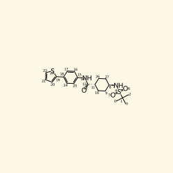 CC(C)(C)S(=O)(=O)N[C@H]1CC[C@H](C(=O)Nc2ccc(-c3cccs3)cc2)CC1